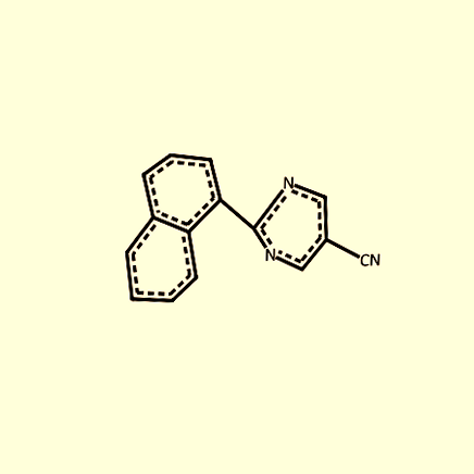 N#Cc1cnc(-c2cccc3ccccc23)nc1